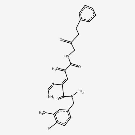 C=C(/C=C(\N=C/N)C(=O)N(C)Cc1ccc(F)c(C)c1)C(=O)NCC(=O)CCc1ccccc1